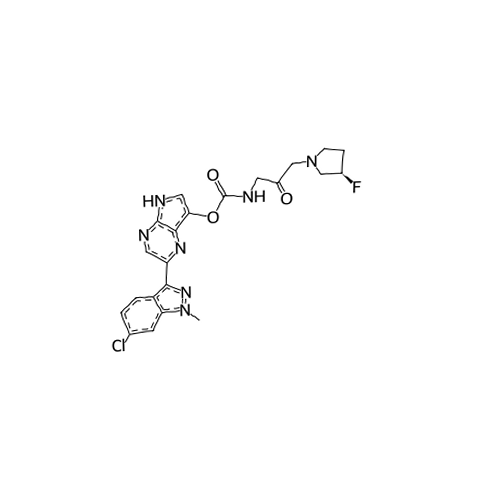 Cn1nc(-c2cnc3[nH]cc(OC(=O)NCC(=O)CN4CC[C@@H](F)C4)c3n2)c2ccc(Cl)cc21